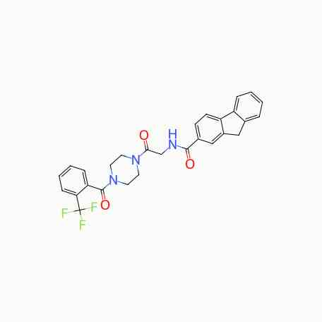 O=C(NCC(=O)N1CCN(C(=O)c2ccccc2C(F)(F)F)CC1)c1ccc2c(c1)Cc1ccccc1-2